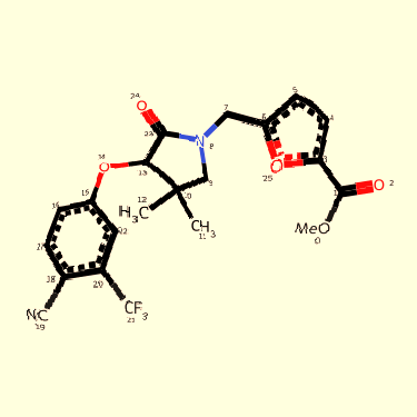 COC(=O)c1ccc(CN2CC(C)(C)C(Oc3ccc(C#N)c(C(F)(F)F)c3)C2=O)o1